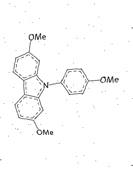 COc1ccc(-n2c3cc(OC)ccc3c3ccc(OC)cc32)cc1